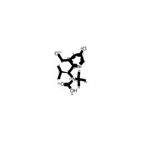 CC(C)[C@@H](c1ncc(Cl)cc1CCl)N(C(=O)O)C(C)(C)C